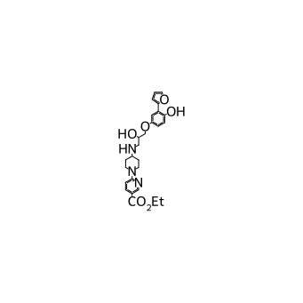 CCOC(=O)c1ccc(N2CCC(NCC(O)COc3ccc(O)c(-c4ccco4)c3)CC2)nc1